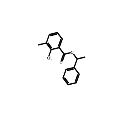 Cc1cccc(C(=O)OC(C)c2ccccc2)c1C(F)(F)F